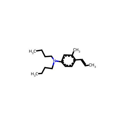 C/C=C/c1ccc(N(CCCC)CCCC)cc1C